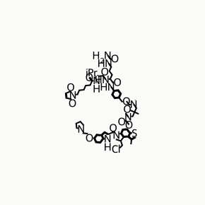 Cc1csc2c(OC(=O)N(C)CC(C)(C)CN(C)C(=O)OCc3ccc(NC(=O)C(CCCNC(N)=O)NC(=O)[C@@H](NC(=O)CCCCCN4C(=O)C=CC4=O)C(C)C)cc3)cc3c(c12)C(CCl)CN3C(=O)c1cc2cc(OCCN3CCCC3)ccc2[nH]1